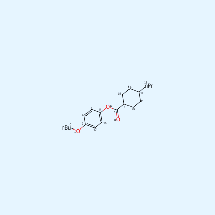 CCCCOc1ccc(OC(=O)C2CCC(CCC)CC2)cc1